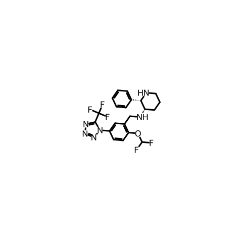 FC(F)Oc1ccc(-n2nnnc2C(F)(F)F)cc1CN[C@H]1CCCN[C@H]1c1ccccc1